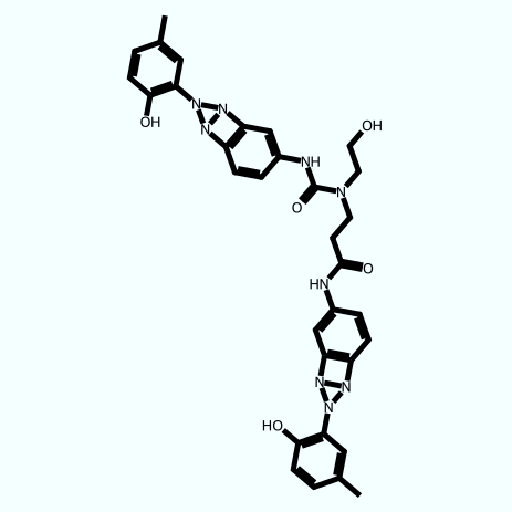 Cc1ccc(O)c(-n2n3c4ccc(NC(=O)CCN(CCO)C(=O)Nc5ccc6c(c5)n5n(-c7cc(C)ccc7O)n65)cc4n23)c1